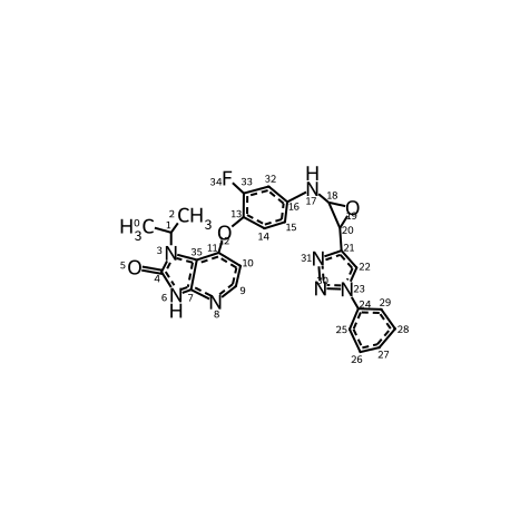 CC(C)n1c(=O)[nH]c2nccc(Oc3ccc(NC4OC4c4cn(-c5ccccc5)nn4)cc3F)c21